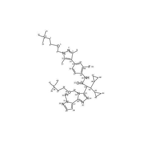 Cc1nn(COCCS(C)(C)C)c(C)c1-c1ccc(NC(=O)C(c2nnc(-c3ccnn3C(C)C)n2COCCS(C)(C)C)C(C2CC2)C2CC2)c(F)c1